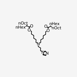 CCCCCCCCC(CCCCCC)C(=O)OCCCCCCN(CCCCCCOC(=O)[C@H](CCCCCC)CCCCCCCC)CCCn1ccnc1